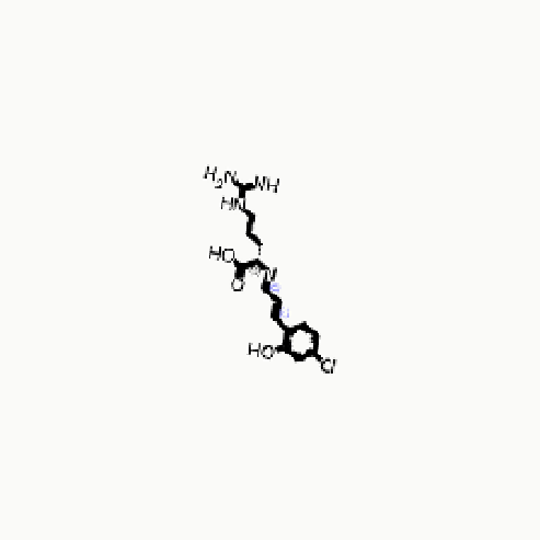 N=C(N)NCCC[C@H](/N=C/C=C/c1ccc(Cl)cc1O)C(=O)O